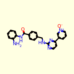 Nc1ccccc1NC(=O)c1ccc(CNc2nccc(-c3ccc[n+]([O-])c3)n2)cc1